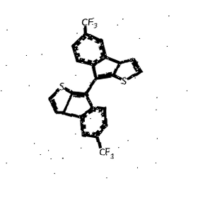 FC(F)(F)c1ccc2c(c1)C1C=CSC1=C2C1=C2SC=CC2c2cc(C(F)(F)F)ccc21